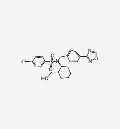 O=S(=O)(c1ccc(Cl)cc1)N(Cc1ccc(-c2ncon2)cc1)[C@H]1CCCC[C@@H]1CO